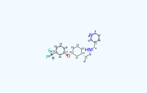 CC(CNCc1cccnc1)[C@H]1CCC[C@@H](Oc2cccc(C(F)(F)F)c2)C1